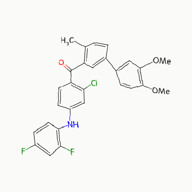 COc1ccc(-c2ccc(C)c(C(=O)c3ccc(Nc4ccc(F)cc4F)cc3Cl)c2)cc1OC